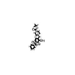 CC(C)(C)OC(=O)N1CCN(Cc2ccn(S(=O)(=O)c3ccccc3)c(=O)c2O)CC1